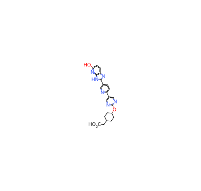 O=C(O)CC1CCC(Oc2ncc(-c3ccc(-c4nc5ccc(O)nc5[nH]4)cn3)cn2)CC1